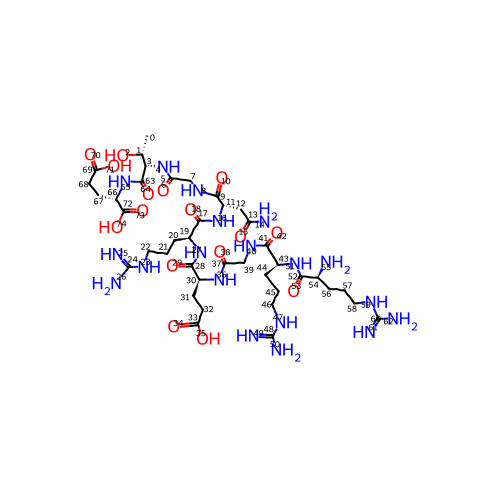 C[C@@H](O)[C@H](NC(=O)CNC(=O)[C@H](CC(N)=O)NC(=O)[C@H](CCCNC(=N)N)NC(=O)[C@H](CCC(=O)O)NC(=O)CNC(=O)[C@H](CCCNC(=N)N)NC(=O)[C@@H](N)CCCNC(=N)N)C(=O)N[C@@H](CCC(=O)O)C(=O)O